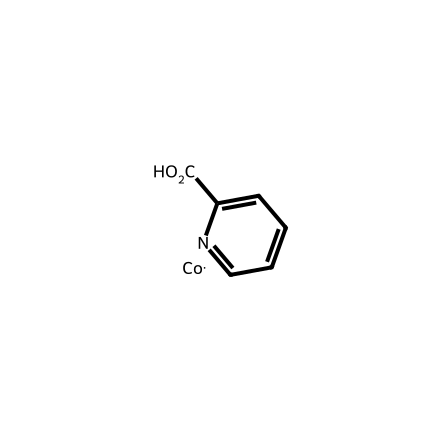 O=C(O)c1ccccn1.[Co]